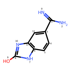 N=C(N)c1ccc2[nH]c(O)nc2c1